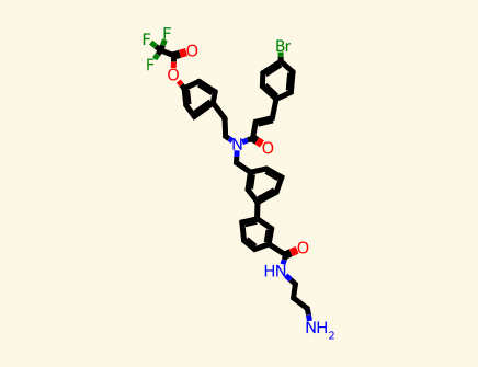 NCCCNC(=O)c1cccc(-c2cccc(CN(CCc3ccc(OC(=O)C(F)(F)F)cc3)C(=O)/C=C/c3ccc(Br)cc3)c2)c1